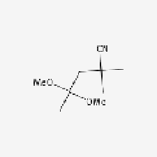 COC(C)(CC(C)(C)C#N)OC